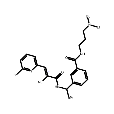 CCCC(NC(=O)/C(C#N)=C/c1cccc(Br)n1)c1cccc(C(=O)NCCCN(CC)CC)c1